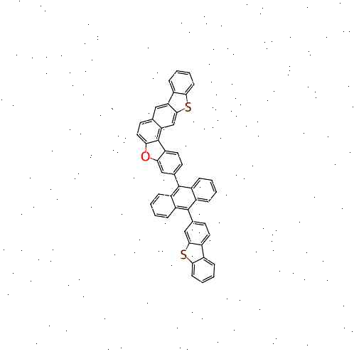 c1ccc2c(c1)sc1cc(-c3c4ccccc4c(-c4ccc5c(c4)oc4ccc6cc7c(cc6c45)sc4ccccc47)c4ccccc34)ccc12